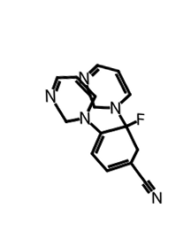 N#CC1=CC=C(N2C=CC=NC2)C(F)(N2C=CC=NC2)C1